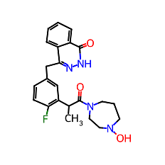 CC(C(=O)N1CCCN(O)CC1)c1cc(Cc2n[nH]c(=O)c3ccccc23)ccc1F